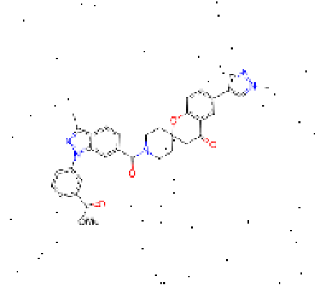 COC(=O)c1cccc(-n2nc(C)c3ccc(C(=O)N4CCC5(CC4)CC(=O)c4cc(-c6cnn(C)c6)ccc4O5)cc32)c1